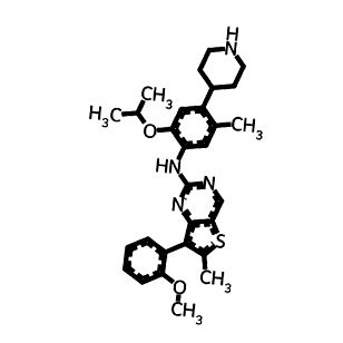 COc1ccccc1-c1c(C)sc2cnc(Nc3cc(C)c(C4CCNCC4)cc3OC(C)C)nc12